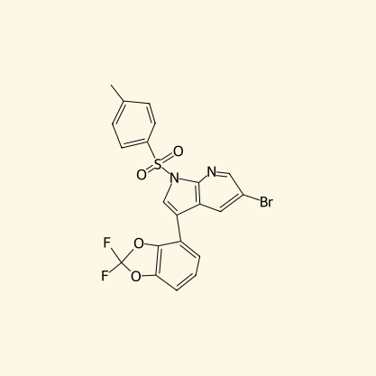 Cc1ccc(S(=O)(=O)n2cc(-c3cccc4c3OC(F)(F)O4)c3cc(Br)cnc32)cc1